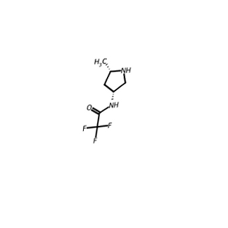 C[C@H]1C[C@@H](NC(=O)C(F)(F)F)CN1